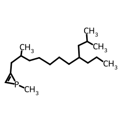 CCCC(CCCCCC(C)CC1=CP1C)CC(C)C